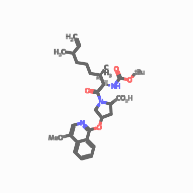 C=CC(C)CCC[C@@H](C)[C@H](NC(=O)OC(C)(C)C)C(=O)N1CC(Oc2ncc(OC)c3ccccc23)CC1C(=O)O